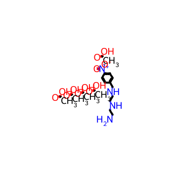 CC(=O)O.CC(=O)O.CC(=O)O.CC(=O)O.CC(=O)O.NCCNCCNCc1ccc([N+](=O)[O-])cc1